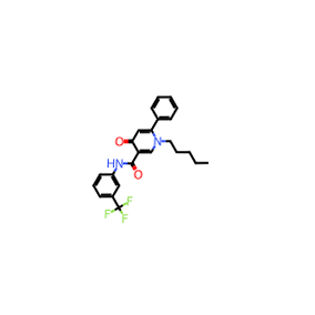 CCCCCn1cc(C(=O)Nc2cccc(C(F)(F)F)c2)c(=O)cc1-c1ccccc1